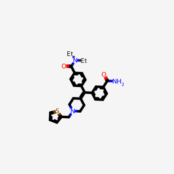 CCN(CC)C(=O)c1ccc(C(=C2CCN(Cc3cccs3)CC2)c2cccc(C(N)=O)c2)cc1